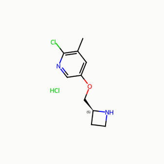 Cc1cc(OC[C@@H]2CCN2)cnc1Cl.Cl